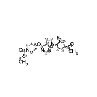 CCSC(=O)N1CCC(Oc2ncnc3c2CCN3c2ccc([S+](C)[O-])cc2F)CC1